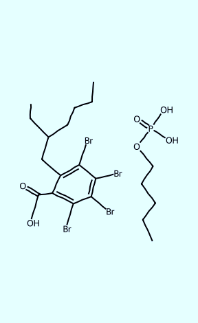 CCCCC(CC)Cc1c(Br)c(Br)c(Br)c(Br)c1C(=O)O.CCCCCOP(=O)(O)O